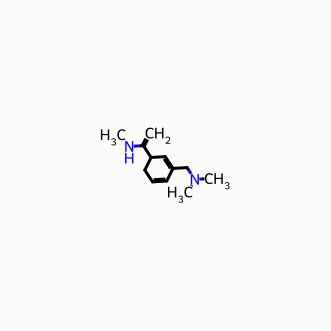 C=C(NC)C1C=C(CN(C)C)C=CC1